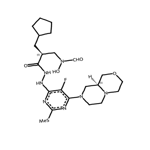 CSc1nc(NNC(=O)[C@@H](CC2CCCC2)CN(O)C=O)c(F)c(N2CCN3CCOC[C@@H]3C2)n1